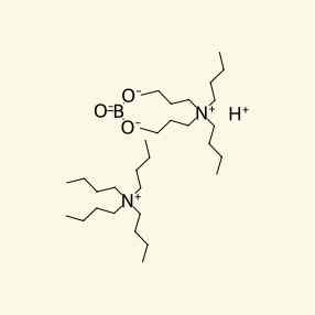 CCCC[N+](CCCC)(CCCC)CCCC.CCCC[N+](CCCC)(CCCC)CCCC.[H+].[O-]B([O-])[O-]